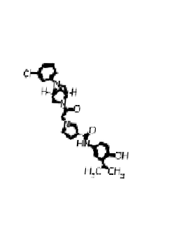 CC(C)c1cc(NC(=O)[C@@H]2CCN(CC(=O)N3C[C@@H]4C[C@H]3CN4c3cccc(Cl)c3)C2)ccc1O